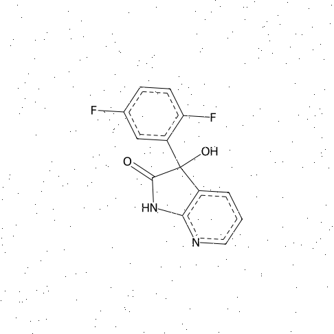 O=C1Nc2ncccc2C1(O)c1cc(F)ccc1F